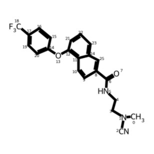 CN(C#N)CCNC(=O)c1ccc2c(Oc3ccc(C(F)(F)F)cc3)cccc2c1